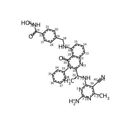 Cc1nc(N)nc(N[C@@H](C)c2nc3cccc(NCc4ccc(C(=O)NO)cc4)c3c(=O)n2-c2ccccc2)c1C#N